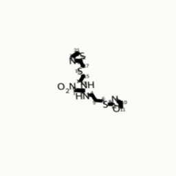 O=[N+]([O-])C=C(NCCCSc1ncco1)NCCSCc1nccs1